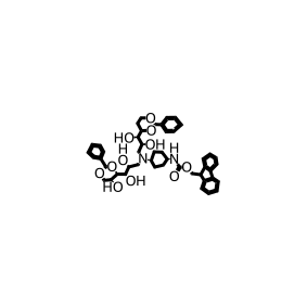 O=C(N[C@H]1CC[C@@H](N(C[C@H](O)[C@@H](O)[C@@H]2OC(c3ccccc3)OC[C@H]2O)C[C@H](O)[C@@H](O)C2CCOC(c3ccccc3)O2)CC1)OCC1c2ccccc2-c2ccccc21